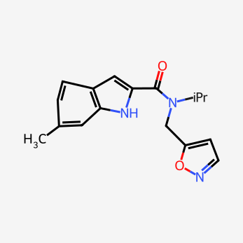 Cc1ccc2cc(C(=O)N(Cc3ccno3)C(C)C)[nH]c2c1